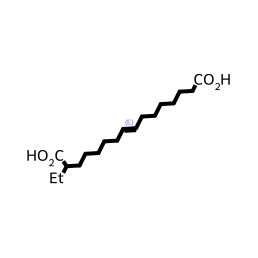 CCC(CCCCC/C=C/CCCCCCC(=O)O)C(=O)O